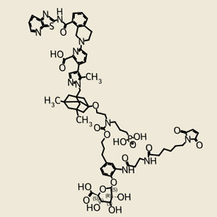 Cc1c(-c2ccc(N3CCc4cccc(C(=O)Nc5nc6cccnc6s5)c4C3)nc2C(=O)O)cnn1CC12CC3(C)CC(C)(C1)CC(OCCN(CCCP(=O)(O)O)C(=O)OCCCc1ccc(O[C@@H]4O[C@H](C(=O)O)[C@@H](O)[C@H](O)[C@H]4O)c(NC(=O)CCNC(=O)CCCCCN4C(=O)C=CC4=O)c1)(C3)C2